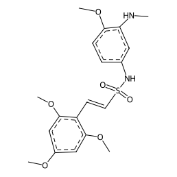 CNc1cc(NS(=O)(=O)C=Cc2c(OC)cc(OC)cc2OC)ccc1OC